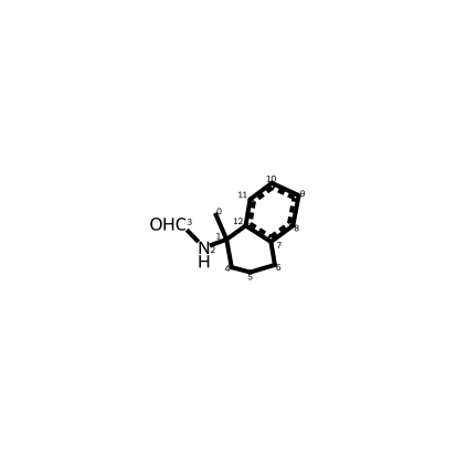 CC1(NC=O)CCCc2ccccc21